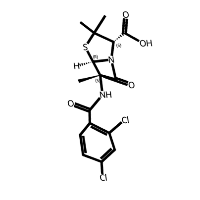 CC1(C)S[C@H]2N(C(=O)[C@]2(C)NC(=O)c2ccc(Cl)cc2Cl)[C@H]1C(=O)O